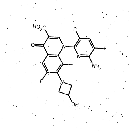 Cc1c(N2CC(O)C2)c(F)cc2c(=O)c(C(=O)O)cn(-c3nc(N)c(F)cc3F)c12